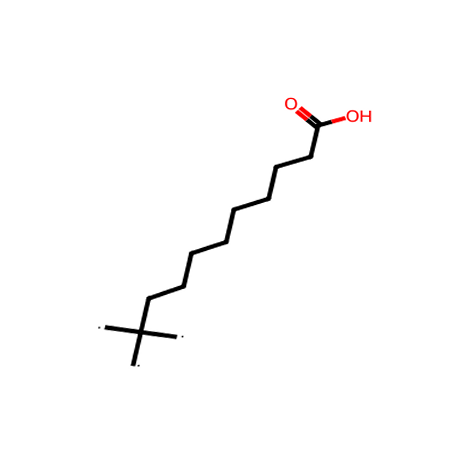 [CH2]C([CH2])([CH2])CCCCCCCCC(=O)O